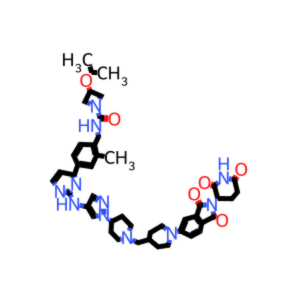 Cc1cc(-c2ccnc(Nc3cnn(C4CCN(CC5CCN(c6ccc7c(c6)C(=O)N(C6CCC(=O)NC6=O)C7=O)CC5)CC4)c3)n2)ccc1CNC(=O)N1CC(OC(C)C)C1